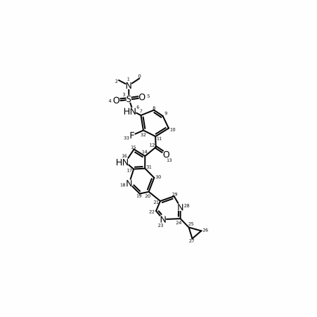 CN(C)S(=O)(=O)Nc1cccc(C(=O)c2c[nH]c3ncc(-c4cnc(C5CC5)nc4)cc23)c1F